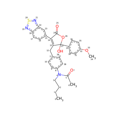 CCCCN(C(C)=O)c1ccc(CC2=C(c3ccc4nsnc4c3)C(=O)OC2(O)c2ccc(OC)cc2)cc1